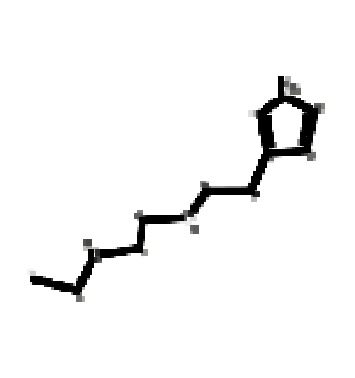 CCOCCOCCc1cc[nH]c1